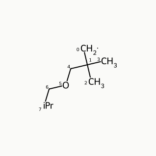 [CH2]C(C)(C)COCC(C)C